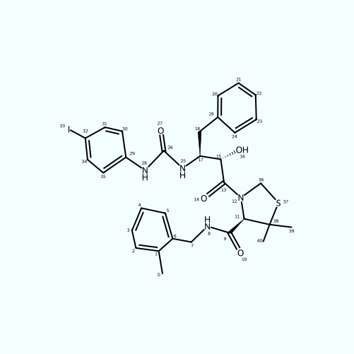 Cc1ccccc1CNC(=O)[C@H]1N(C(=O)[C@@H](O)[C@H](Cc2ccccc2)NC(=O)Nc2ccc(I)cc2)CSC1(C)C